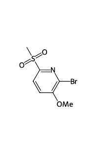 COc1ccc(S(C)(=O)=O)nc1Br